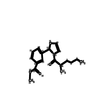 CCCCN(C)C(=O)N1C=COC1c1cccc(C(=O)OC)c1